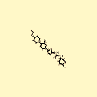 CCOC1CCN(c2ccc(-c3nc(NC(=O)Nc4ccc(C)nc4)cs3)cc2Cl)CC1